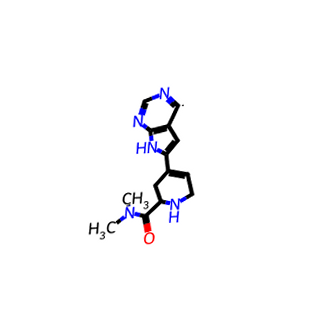 CN(C)C(=O)C1CC(c2cc3[c]ncnc3[nH]2)=CCN1